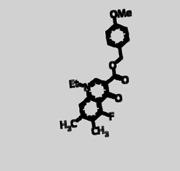 CCn1cc(C(=O)OCc2ccc(OC)cc2)c(=O)c2c(F)c(C)c(C)cc21